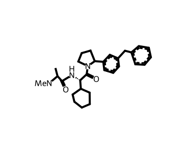 CNC(C)C(=O)N[C@H](C(=O)N1CCCC1c1cccc(Cc2ccccc2)c1)C1CCCCC1